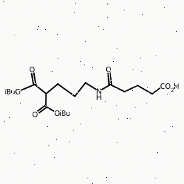 CC(C)COC(=O)C(CCCNC(=O)CCCC(=O)O)C(=O)OCC(C)C